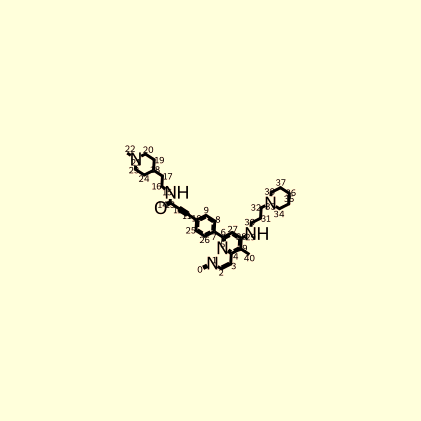 C=N/C=C\c1nc(-c2ccc(C#CC(=O)NCCC3CCN(C)CC3)cc2)cc(NCCCN2CCCCC2)c1C